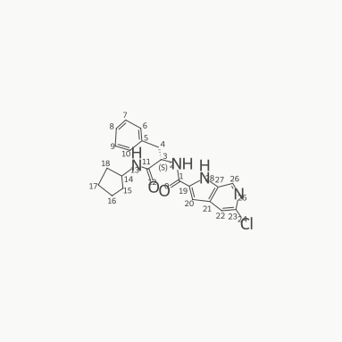 O=C(N[C@@H](Cc1ccccc1)C(=O)NC1CCCC1)c1cc2cc(Cl)ncc2[nH]1